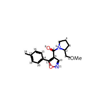 COCC1CCCN1C(=O)c1cnoc1-c1ccc(C)cc1